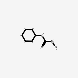 CC[N]C(=O)OC1CCCCC1